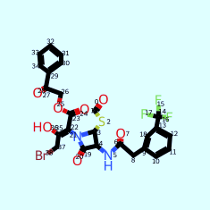 O=CSC1C(NC(=O)Cc2cccc(C(F)(F)F)c2)C(=O)N1/C(C(=O)OCC(=O)c1ccccc1)=C(/O)CBr